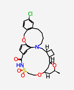 C[C@H]1C[C@@H]2C[C@@H](O1)[C@@H]1CC[C@H]1CN1CCCCc3cc(Cl)ccc3COc3ccc(cc31)C(=O)NS(=O)(=O)CCO2